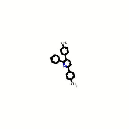 Cc1ccc(-c2ccc(-c3ccc(C)cc3)c(-c3ccccc3)n2)cc1